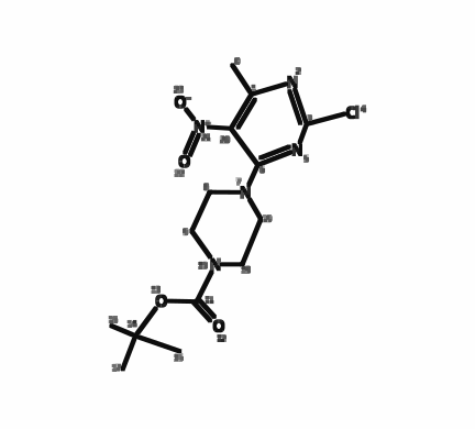 Cc1nc(Cl)nc(N2CCN(C(=O)OC(C)(C)C)CC2)c1[N+](=O)[O-]